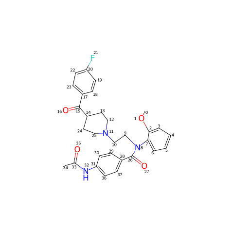 COc1ccccc1N(CCN1CCC(C(=O)c2ccc(F)cc2)CC1)C(=O)c1ccc(NC(C)=O)cc1